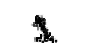 Cc1nc(O)c2nc(CNc3ccc(C(=O)N[C@H](CCC(=O)C(C)C)C(=O)O)cc3)cnc2n1